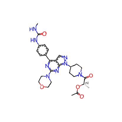 CNC(=O)Nc1ccc(-c2nc(N3CCOCC3)nc3c2cnn3C2CCN(C(=O)[C@H](C)OC(C)=O)CC2)cc1